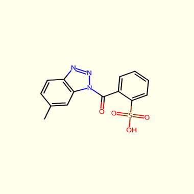 Cc1ccc2nnn(C(=O)c3ccccc3S(=O)(=O)O)c2c1